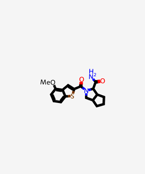 COc1cccc2sc(C(=O)N3CC4CCCC4C3C(N)=O)cc12